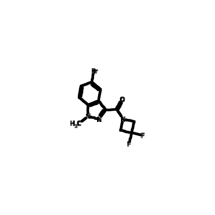 Cn1nc(C(=O)N2CC(F)(F)C2)c2cc(Br)ccc21